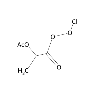 CC(=O)OC(C)C(=O)OOCl